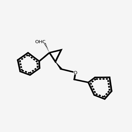 O=C[C@]1(c2ccccc2)C[C@H]1COCc1ccccc1